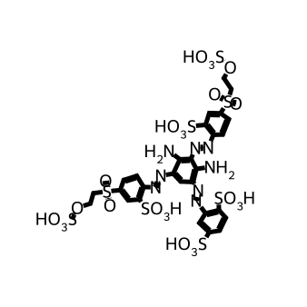 Nc1c(/N=N/c2cc(S(=O)(=O)O)ccc2S(=O)(=O)O)cc(/N=N/c2ccc(S(=O)(=O)CCOS(=O)(=O)O)cc2S(=O)(=O)O)c(N)c1/N=N/c1ccc(S(=O)(=O)CCOS(=O)(=O)O)cc1S(=O)(=O)O